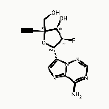 C#C[C@]1(CO)O[C@@H](c2cnc3c(N)ncnn23)[C@H](F)[C@@H]1O